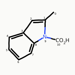 Cc1cc2c[c]ccc2n1C(=O)O